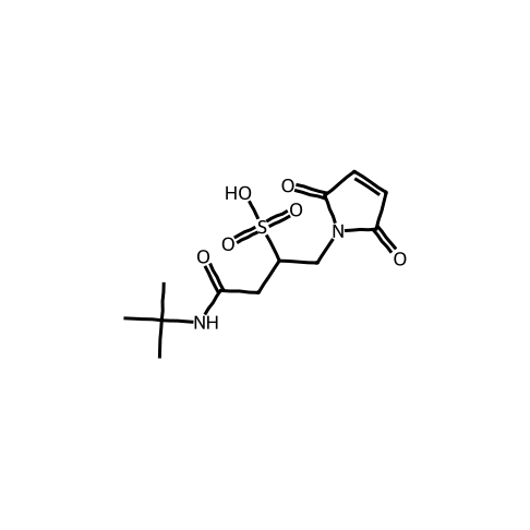 CC(C)(C)NC(=O)CC(CN1C(=O)C=CC1=O)S(=O)(=O)O